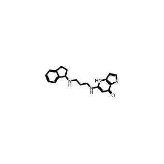 O=c1cc(NCCCNC2CCc3ccccc32)[nH]c2ccsc12